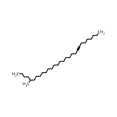 [CH2]CCCCCCC#CCCCCCCCCCCCCCCCC(C)CCC[CH2]